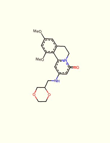 COc1cc2c(c(OC)c1)-c1cc(NCC3COCCO3)cc(=O)n1CC2